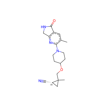 Cc1cc2c(nc1N1CCC(OCC3(C)C[C@@H]3C#N)CC1)CNC2=O